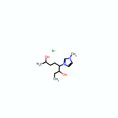 CCC(O)C(CCC(C)O)[n+]1ccn(C)c1.[Br-]